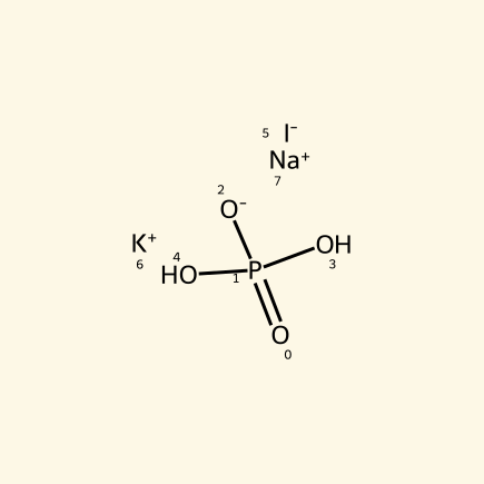 O=P([O-])(O)O.[I-].[K+].[Na+]